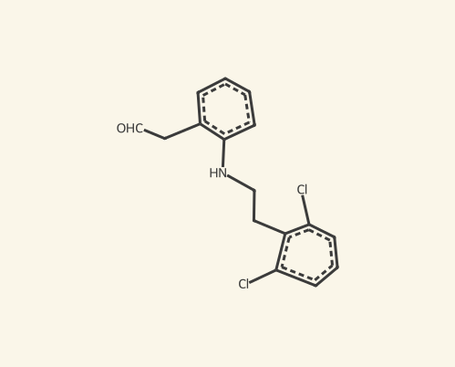 O=CCc1ccccc1NCCc1c(Cl)cccc1Cl